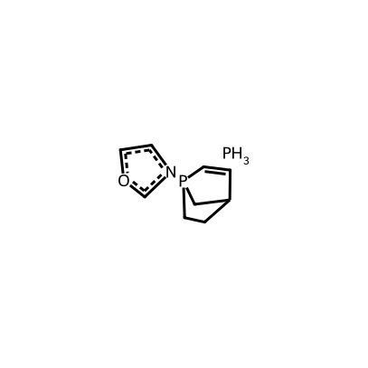 C1=CP2CCC1C2.P.c1cocn1